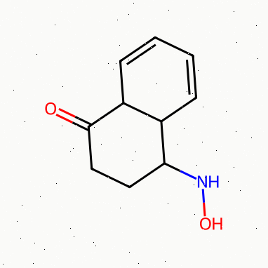 O=C1CCC(NO)C2C=CC=CC12